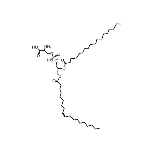 CCCCCCCCC/C=C\CCCCCCCC(=O)OC[C@H](COP(=O)(O)OC[C@H](N)C(=O)O)OC(=O)CCCCCCCCCCCCCCCCC